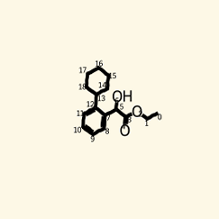 CCOC(=O)C(O)c1ccccc1C1CCCCC1